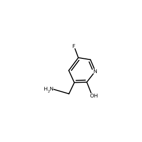 NCc1cc(F)cnc1O